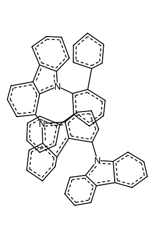 c1ccc(-c2cccc(-c3ccccc3)c2-n2c3ccccc3c3cccc(-n4c5ccccc5c5c(-n6c7ccccc7c7ccccc76)cccc54)c32)cc1